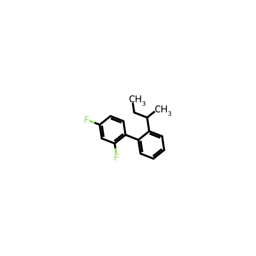 CCC(C)c1ccccc1-c1ccc(F)cc1F